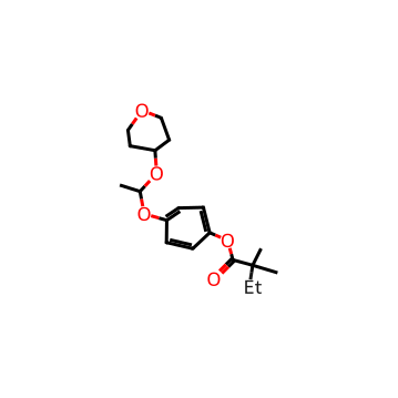 CCC(C)(C)C(=O)Oc1ccc(OC(C)OC2CCOCC2)cc1